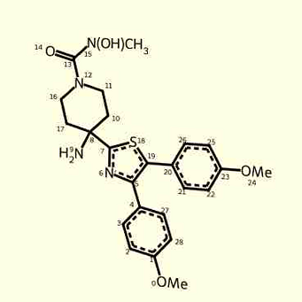 COc1ccc(-c2nc(C3(N)CCN(C(=O)N(C)O)CC3)sc2-c2ccc(OC)cc2)cc1